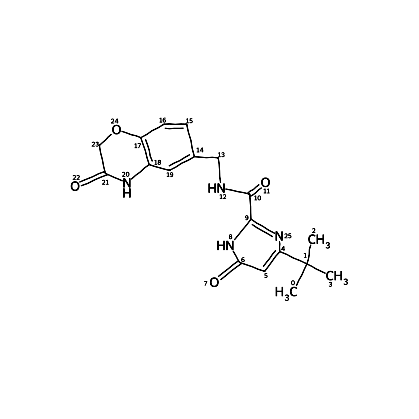 CC(C)(C)c1cc(=O)[nH]c(C(=O)NCc2ccc3c(c2)NC(=O)CO3)n1